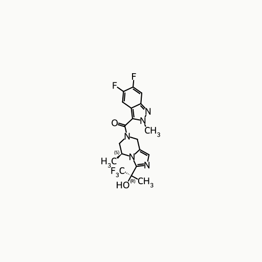 C[C@H]1CN(C(=O)c2c3cc(F)c(F)cc3nn2C)Cc2cnc([C@@](C)(O)C(F)(F)F)n21